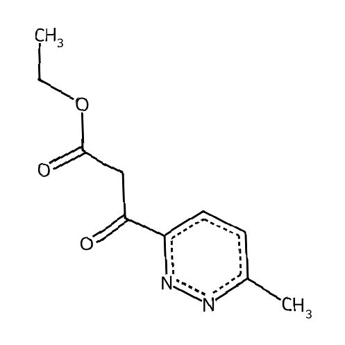 CCOC(=O)CC(=O)c1ccc(C)nn1